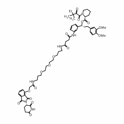 CCC(C)(C)C(=O)C(=O)N1CCCC[C@H]1C(=O)O[C@H](CCc1ccc(OC)c(OC)c1)c1cccc(NC(=O)CCC(=O)NCCCOCCOCCOCCCNC(=O)COc2cccc3c2C(=O)N([C@H]2CCC(=O)NC2=O)C3=O)c1